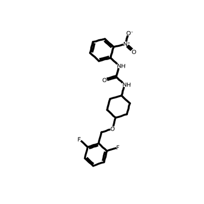 O=C(Nc1ccccc1[N+](=O)[O-])NC1CCC(OCc2c(F)cccc2F)CC1